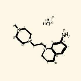 CN1CCN(CCN2CCCc3ccc(N)cc32)CC1.Cl.Cl